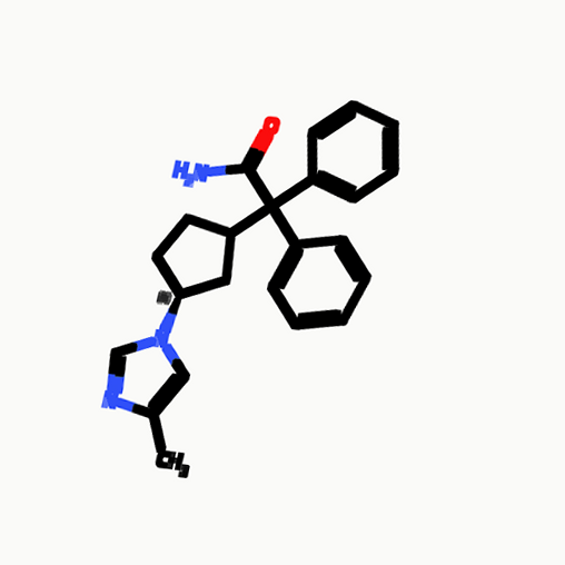 Cc1cn([C@H]2CCC(C(C(N)=O)(c3ccccc3)c3ccccc3)C2)cn1